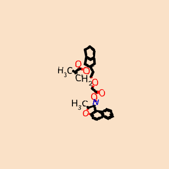 C=C(C)C(=O)OC1(CCOCC(=O)ON=C2c3c(ccc4ccccc34)OC2C)CC2CCCC(C2)C1